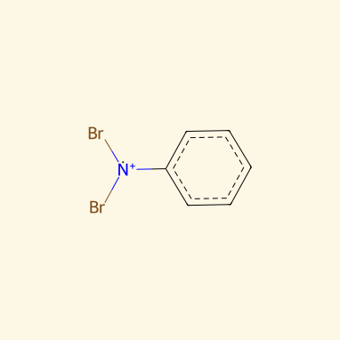 Br[N+](Br)c1ccccc1